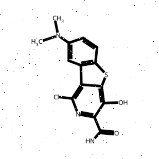 CN(C)c1ccc2sc3c(O)c(C([NH])=O)nc(Cl)c3c2c1